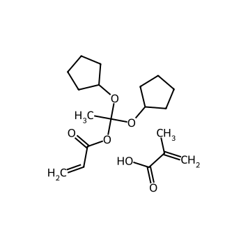 C=C(C)C(=O)O.C=CC(=O)OC(C)(OC1CCCC1)OC1CCCC1